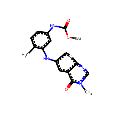 Cc1ccc(NC(=O)OC(C)(C)C)cc1Nc1ccc2ncn(C)c(=O)c2c1